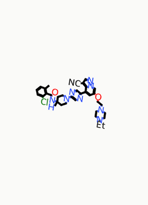 CCN1CCN(CCOc2cc(-c3cnc(N4CCC(C)(NC(=O)c5c(C)cccc5Cl)CC4)cn3)c3c(C#N)cnn3c2)CC1